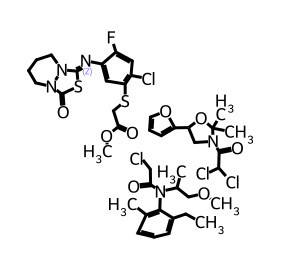 CC1(C)OC(c2ccco2)CN1C(=O)C(Cl)Cl.CCc1cccc(C)c1N(C(=O)CCl)C(C)COC.COC(=O)CSc1cc(/N=c2\sc(=O)n3n2CCCC3)c(F)cc1Cl